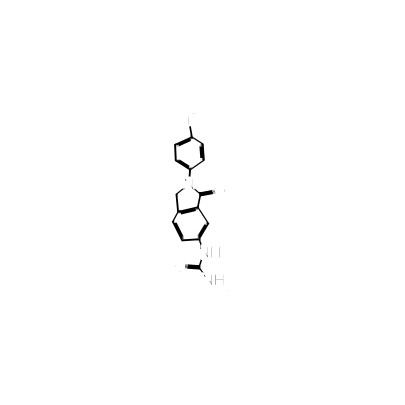 CC(C)c1ccc(N2Cc3ccc(NC(N)=O)cc3C2=O)cc1